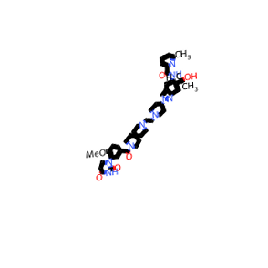 COc1ccc(C(=O)N2CCC3(CCN(CCN4CCC(n5cc6cc(NC(=O)c7cccc(C)n7)c(C(C)(C)O)cc6n5)CC4)CC3)CC2)cc1N1CCC(=O)NC1=O